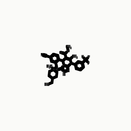 COC(=O)C1=C(C)N(c2cccc(C(F)(F)F)c2)c2n[nH]c(=O)n2C1c1ccc(C#N)cc1C[N+]1(C)CCC(CO)CC1